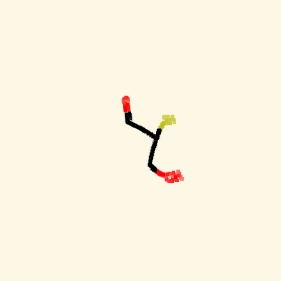 O=CC(S)CO